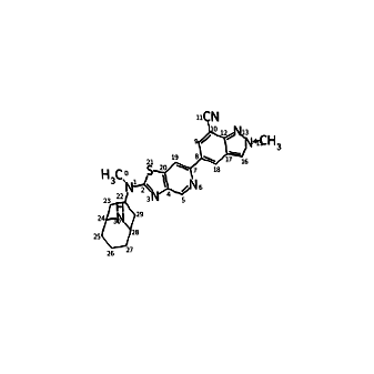 CN(c1nc2cnc(-c3cc(C#N)c4nn(C)cc4c3)cc2s1)C1CC2CCCC(C1)N2